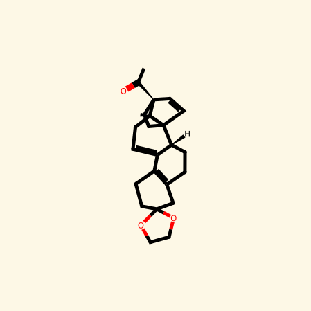 CC(=O)[C@]12C=CC3(CC1)[C@@H]1CCC4=C(CCC5(C4)OCCO5)C1=CC[C@@]32C